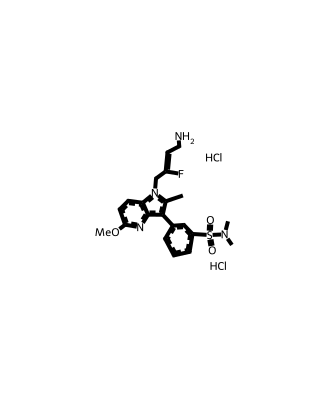 COc1ccc2c(n1)c(-c1cccc(S(=O)(=O)N(C)C)c1)c(C)n2CC(F)=CCN.Cl.Cl